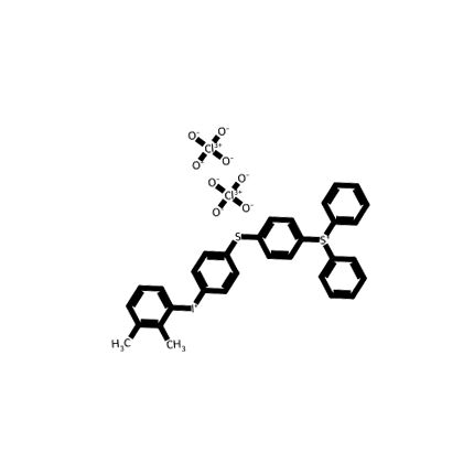 Cc1cccc([I+]c2ccc(Sc3ccc([S+](c4ccccc4)c4ccccc4)cc3)cc2)c1C.[O-][Cl+3]([O-])([O-])[O-].[O-][Cl+3]([O-])([O-])[O-]